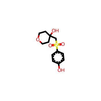 O=S(=O)(CC1(O)CCOCC1)c1ccc(O)cc1